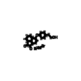 O=C1C(=O)c2ccc(Oc3ccc(CCO)cc3)c3cccc1c23.[Br][Ni][Br]